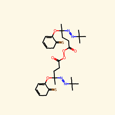 CC(C)(C)N=NC(C)(CCC(=O)OOC(=O)CCC(C)(N=NC(C)(C)C)OC1=CC=CCC1=S)OC1=CC=CCC1=S